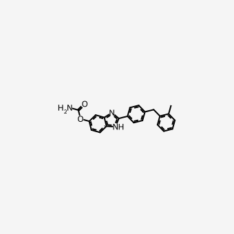 Cc1ccccc1Cc1ccc(-c2nc3cc(OC(N)=O)ccc3[nH]2)cc1